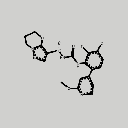 COc1cc(-c2ccc(Cl)c(F)c2NC(=O)N[S@@+]([O-])c2cnn3c2OCCC3)ccn1